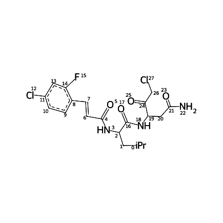 CC(C)CC(NC(=O)/C=C/c1ccc(Cl)cc1F)C(=O)NC(CC(N)=O)C(=O)CCl